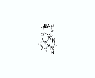 c1ccc2c(c1)NCN=C2C1CCNCC1